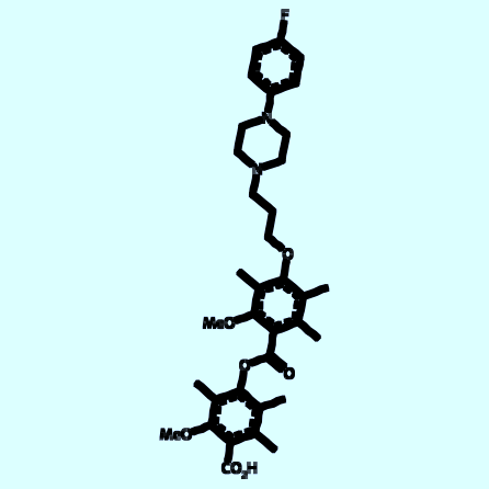 COc1c(C)c(OC(=O)c2c(C)c(C)c(OCCCN3CCN(c4ccc(F)cc4)CC3)c(C)c2OC)c(C)c(C)c1C(=O)O